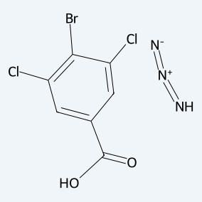 O=C(O)c1cc(Cl)c(Br)c(Cl)c1.[N-]=[N+]=N